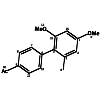 COc1cc(C)c(-c2ccc(C(C)=O)cc2)c(OC)c1